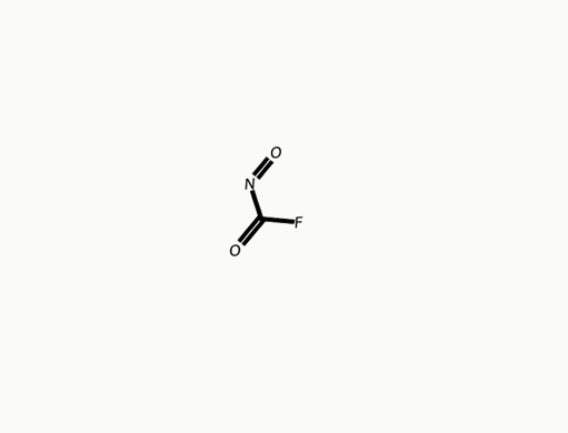 O=NC(=O)F